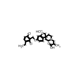 CCc1ccc(Cl)c(COc2ccc3c(c2)OCC32CCN(CC(C)C(=O)O)CC2)c1Cl.Cl